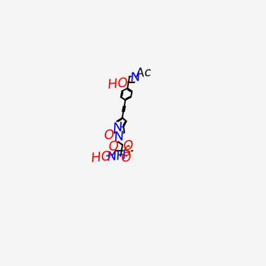 CC(=O)N1CC(O)(c2ccc(C#Cc3cc4n(c3)C(=O)N(CCC(C)(C(=O)NO)S(C)(=O)=O)C4)cc2)C1